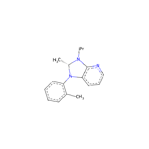 Cc1ccccc1N1c2cccnc2N(C(C)C)[C@H]1C